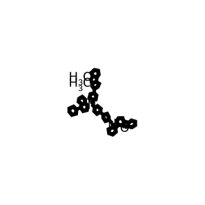 CC1(C)c2ccccc2-c2ccc(-c3ccc(N(c4ccc(-c5ccc(-n6c7ccccc7c7c8oc9ccccc9c8ccc76)cc5)cc4)c4ccc(-c5ccccc5)c5ccccc45)cc3)cc21